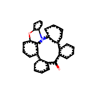 O=c1c2ccccc2c2ccccc2n2c3c(cccc3c3ccccc13)Oc1ccccc1-2